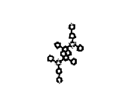 C1=CCCC(c2nc(-c3ccc(-c4ccncc4)cc3)nc(-c3cc(-c4ccccc4)c4ccc5c(-c6nc(-c7ccccc7)nc(-c7ccc(-c8ccncc8)cc7)n6)cc(-c6ccccc6)c6ccc3c4c65)n2)=C1